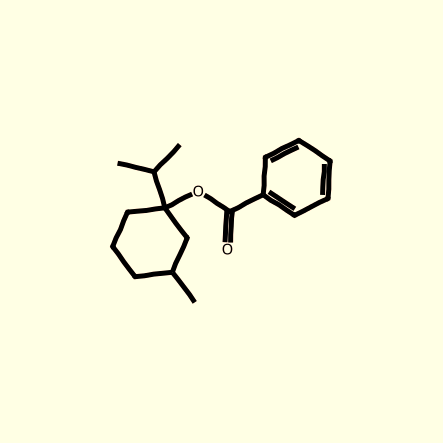 CC1CCCC(OC(=O)c2ccccc2)(C(C)C)C1